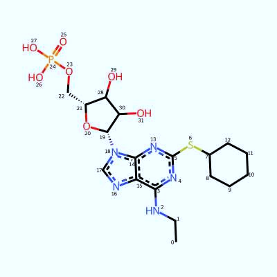 CCNc1nc(SC2CCCCC2)nc2c1ncn2[C@@H]1O[C@H](COP(=O)(O)O)C(O)C1O